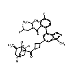 C=C1C[C@@H]2CC[C@H]1[C@@H](C(=O)N1CC(c3cc(-c4ccc(F)cc4C(=O)N(CC(F)F)C(C)C)c4cnc(C)n4c3)C1)N2